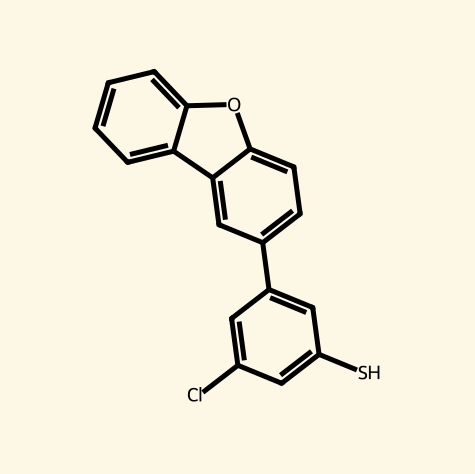 Sc1cc(Cl)cc(-c2ccc3oc4ccccc4c3c2)c1